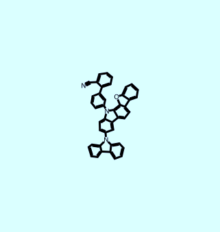 N#Cc1ccccc1-c1cccc(-n2c3ccc(-n4c5ccccc5c5ccccc54)cc3c3ccc4c5ccccc5oc4c32)c1